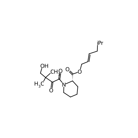 CC(C)C/C=C/COC(=O)[C@@H]1CCCCN1C(=O)C(=O)C(C)(C)CO